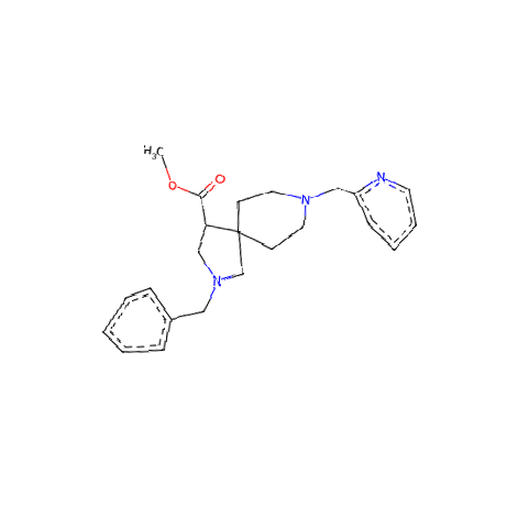 COC(=O)C1CN(Cc2ccccc2)CC12CCN(Cc1ccccn1)CC2